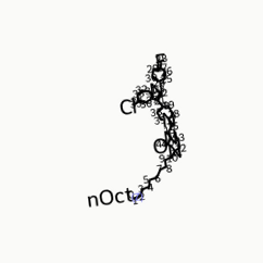 CCCCCCCC/C=C\CCCCCCCCN1CCN(CCN2CCC(c3cn(-c4ccc(F)cc4)c4ccc(Cl)cc34)CC2)C1=O